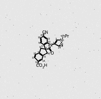 CCCn1cc(N2C(=O)C3(Cc4ccc(C(=O)O)cc4C3)c3ccc(C#N)cc32)cn1